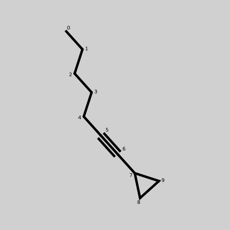 CCCCCC#CC1CC1